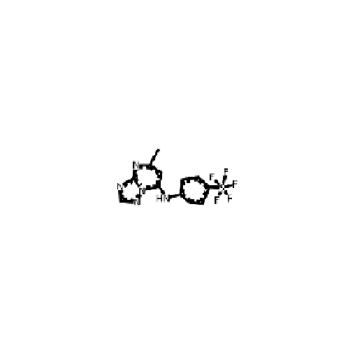 Cc1cc(Nc2ccc(S(F)(F)(F)(F)F)cc2)n2ncnc2n1